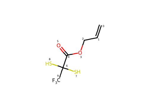 C=CCOC(=O)C(S)(S)C(F)(F)F